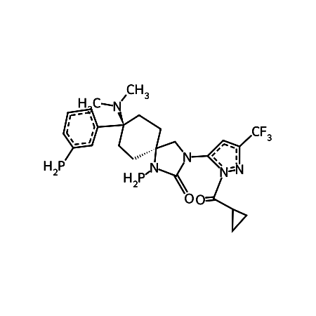 CN(C)[C@]1(c2cccc(P)c2)CC[C@]2(CC1)CN(c1cc(C(F)(F)F)nn1C(=O)C1CC1)C(=O)N2P